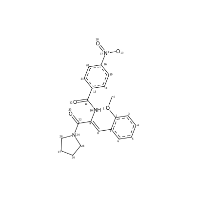 COc1ccccc1C=C(NC(=O)c1ccc([N+](=O)[O-])cc1)C(=O)N1CCCC1